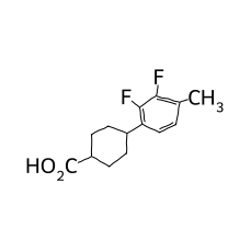 Cc1ccc(C2CCC(C(=O)O)CC2)c(F)c1F